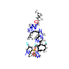 COc1ncc(F)cc1S(=O)(=O)Nc1ccc(F)c(-c2cn3cnc(-c4c(C5CC5)ncn4COCC[Si](C)(C)C)c3cn2)c1F